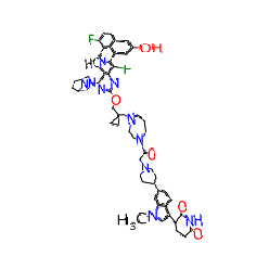 C#Cc1c(F)ccc2cc(O)cc(-c3ncc4c(N5CC6CCC(C5)N6)nc(OCC5(CN6CCCN(C(=O)CN7CCC(c8ccc9c(C%10CCC(=O)NC%10=O)cn(C)c9c8)CC7)CC6)CC5)nc4c3F)c12